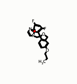 CCCOc1ccc2c(c1)COC2(Cn1ccnc1)c1ccc(F)cc1F